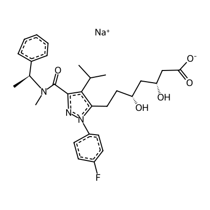 CC(C)c1c(C(=O)N(C)[C@@H](C)c2ccccc2)nn(-c2ccc(F)cc2)c1CC[C@@H](O)C[C@@H](O)CC(=O)[O-].[Na+]